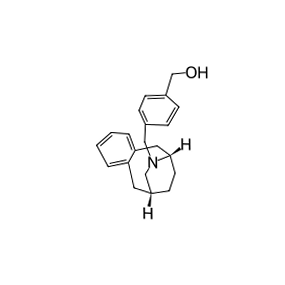 OCc1ccc(CN2C[C@@H]3CC[C@H]2Cc2ccccc2C3)cc1